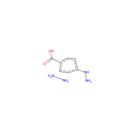 NN.NNc1ccc(C(=O)O)cc1